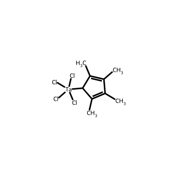 CC1=C(C)[CH]([Ta]([Cl])([Cl])([Cl])[Cl])C(C)=C1C